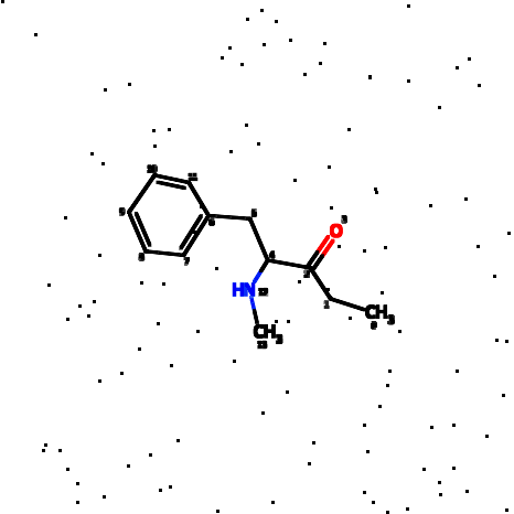 CCC(=O)C(Cc1ccccc1)NC